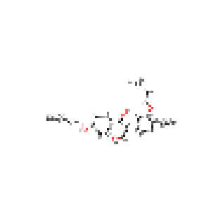 CCOC(=O)CCOc1ccc2c(=O)c(-c3ccc(OC)c(OCCC(=O)OCC)c3)coc2c1